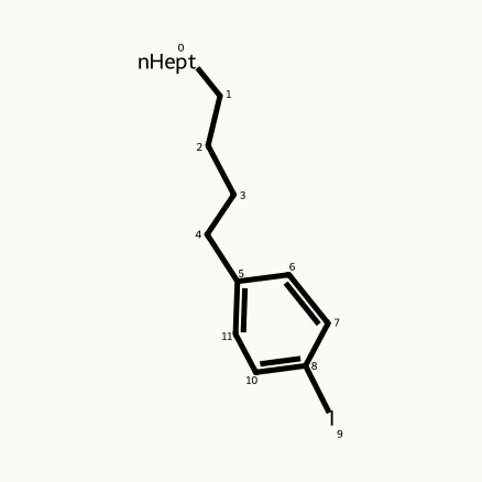 CCCCCCCCCCCc1ccc(I)cc1